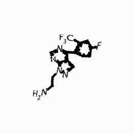 NCCn1ncc2c(-c3ccc(F)cc3C(F)(F)F)ncnc21